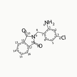 Nc1cc(Cl)ccc1CN1C(=O)c2ccccc2C1=O